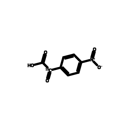 O=C(O)[13C](=O)c1ccc([N+](=O)[O-])cc1